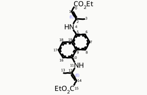 CCOC(=O)/C=C(\C)Nc1cccc2c(N/C(C)=C/C(=O)OCC)cccc12